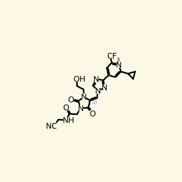 N#CCNC(=O)CN1C(=O)/C(=C/n2cnc(-c3cc(C4CC4)nc(C(F)(F)F)c3)n2)N(CCO)C1=O